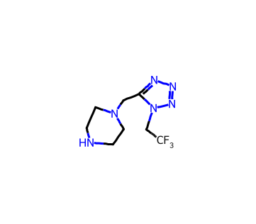 FC(F)(F)Cn1nnnc1CN1CCNCC1